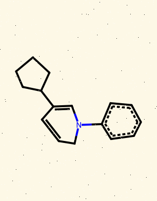 C1=CC(C2CCCC2)=CN(c2ccccc2)C1